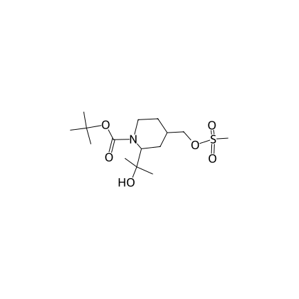 CC(C)(C)OC(=O)N1CCC(COS(C)(=O)=O)CC1C(C)(C)O